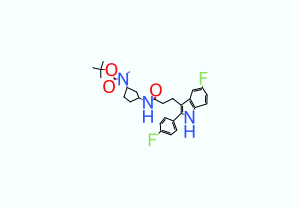 CN(C(=O)OC(C)(C)C)C1CCC(NC(=O)CCc2c(-c3ccc(F)cc3)[nH]c3ccc(F)cc23)C1